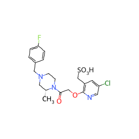 C[C@@H]1CN(Cc2ccc(F)cc2)CCN1C(=O)COc1ncc(Cl)cc1CS(=O)(=O)O